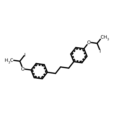 CC(I)Oc1ccc(CCCc2ccc(OC(C)I)cc2)cc1